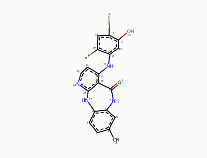 N#Cc1ccc2c(c1)NC(=O)c1c(Nc3cc(O)c(F)cc3F)ccnc1N2